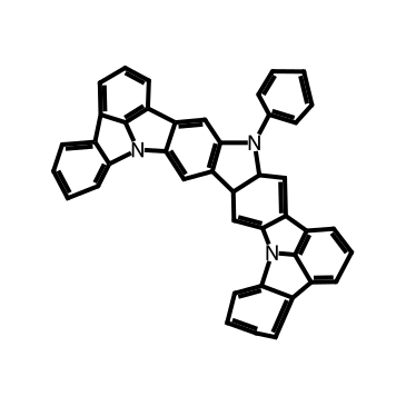 C1=c2c(n3c4ccccc4c4cccc2c43)=CC2c3cc4c(cc3N(c3ccccc3)C12)c1cccc2c3ccccc3n4c21